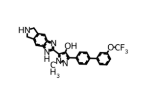 Cn1nc(-c2ccc(-c3cccc(OC(F)(F)F)c3)cc2)c(O)c1-c1nc2cc3c(cc2[nH]1)CNC3